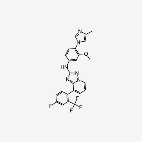 COc1cc(Nc2nc3c(-c4ccc(F)cc4C(F)(F)F)cccn3n2)ccc1-n1cnc(C)c1